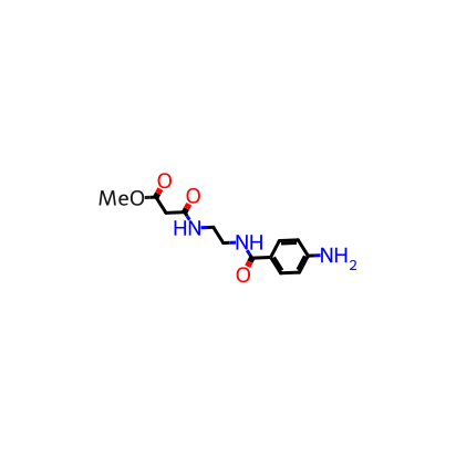 COC(=O)CC(=O)NCCNC(=O)c1ccc(N)cc1